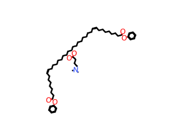 CN(C)CCCC(=O)OC(CCCCCCCC/C=C\CCCCCCCC(=O)Oc1ccccc1)CCCCCCCC/C=C\CCCCCCCC(=O)Oc1ccccc1